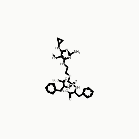 CC(C)COC(=O)C(Cc1ccccc1)NP(=O)(COCCNc1nc(N)nc(NC2CC2)c1NI)NC(Cc1ccccc1)C(=O)OCC(C)C